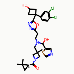 CC1(CN(CCc2nnc(C3(c4ccc(Cl)c(Cl)c4)CC(O)C3)o2)C(O)c2cncs2)CN(C(=O)[C@H]2CC2(C)C)C1